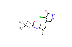 C[C@H]1CN(c2cn[nH]c(=O)c2Cl)C[C@@H]1NC(=O)OC(C)(C)C